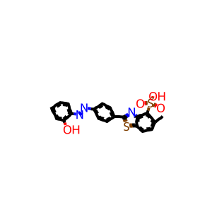 Cc1ccc2sc(-c3ccc(/N=N/c4ccccc4O)cc3)nc2c1S(=O)(=O)O